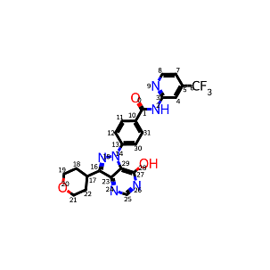 O=C(Nc1cc(C(F)(F)F)ccn1)c1ccc(-n2nc(C3CCOCC3)c3ncnc(O)c32)cc1